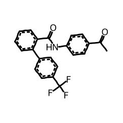 CC(=O)c1ccc(NC(=O)c2ccccc2-c2ccc(C(F)(F)F)cc2)cc1